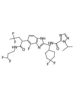 CC(C)n1ncnc1C(=O)N[C@H](c1nc2c(F)c(C(CC(C)(F)F)C(=O)NCCC(F)F)ccc2[nH]1)C1CCC(F)(F)CC1